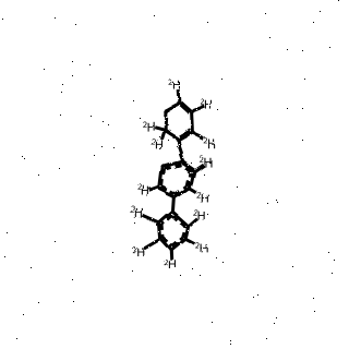 [2H]C1=C([2H])C([2H])=C(c2cc([2H])c(-c3c([2H])c([2H])c([2H])c([2H])c3[2H])c([2H])c2[2H])C([2H])([2H])C1